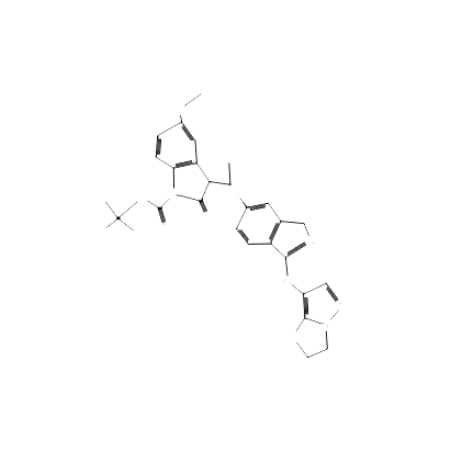 COc1ccc2c(c1)[C@]1(C[C@H]1c1ccc3c(c1)CN=C3Nc1cnn3c1OCC3)C(=O)N2C(=O)OC(C)(C)C